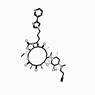 C#CCCN(C)[C@H]1C[C@@H](C)O[C@@H](O[C@@H]2[C@@H](C)C(=O)[C@@H](C)C(=O)O[C@H](CC)[C@@]3(C)OC(=O)N4C(CCCn5cnc(-c6cccnc6)c5)[C@@H](C(=O)[C@H](C)C[C@@]2(C)OC)C43)[C@@H]1O